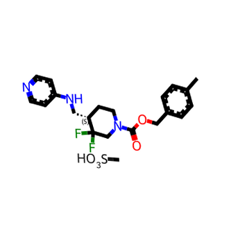 CS(=O)(=O)O.Cc1ccc(COC(=O)N2CC[C@@H](CNc3ccncc3)C(F)(F)C2)cc1